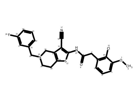 COc1cccc(CC(=O)Nc2sc3c(c2C#N)CN(Cc2cccc(F)c2)CC3)c1Cl